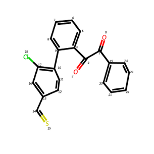 O=C(C(=O)c1ccccc1-c1ccc(C=S)cc1Cl)c1ccccc1